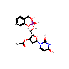 CC(=O)OC1C[C@H](n2ccc(=O)[nH]c2=O)O[C@@H]1CO[P@]1(=O)OCc2ccccc2O1